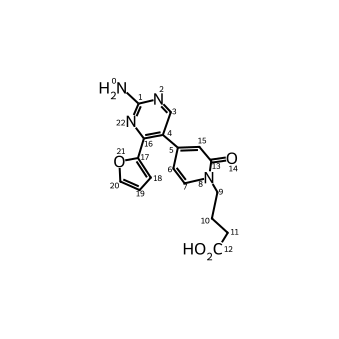 Nc1ncc(-c2ccn(CCCC(=O)O)c(=O)c2)c(-c2ccco2)n1